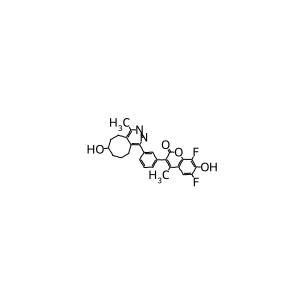 Cc1nnc(-c2cccc(-c3c(C)c4cc(F)c(O)c(F)c4oc3=O)c2)c2c1CCC(O)CCC2